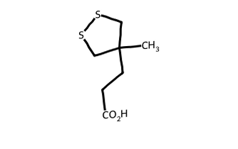 CC1(CCC(=O)O)CSSC1